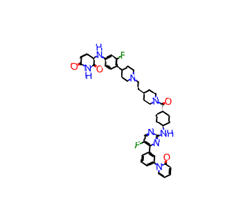 O=C1CCC(Nc2ccc(C3CCN(CCC4CCN(C(=O)[C@H]5CC[C@H](Nc6ncc(F)c(-c7cccc(-n8ccccc8=O)c7)n6)CC5)CC4)CC3)c(F)c2)C(=O)N1